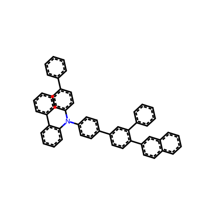 c1ccc(-c2ccc(N(c3ccc(-c4ccc(-c5ccc6ccccc6c5)c(-c5ccccc5)c4)cc3)c3ccccc3-c3ccccc3)cc2)cc1